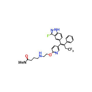 CNC(=O)CCCNCCOc1ccc(/C(=C(\CC(F)(F)F)c2ccccc2)c2ccc3[nH]nc(F)c3c2)cn1